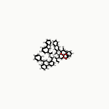 C=C/C(=N\C(=N/C(=C)c1cccc2c1sc1ccccc12)c1cccc2c1CC(c1ccccc1)c1ccccc1-2)c1cc2sc3ccccc3c2cc1C(C)c1cc2ccccc2cc1-c1cc2ccccc2cc1C